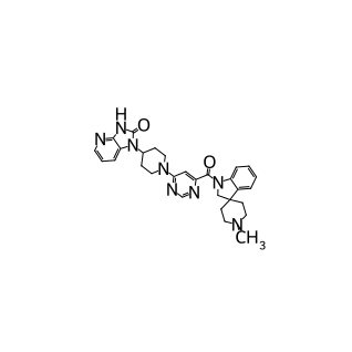 CN1CCC2(CC1)CN(C(=O)c1cc(N3CCC(n4c(=O)[nH]c5ncccc54)CC3)ncn1)c1ccccc12